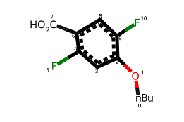 CCCCOc1cc(F)c(C(=O)O)cc1F